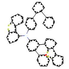 c1ccc(-c2ccccc2-c2ccc(N(c3ccc(-c4ccccc4)c(-c4cccc5c4sc4ccccc45)c3)c3cccc4sc5ccccc5c34)cc2)cc1